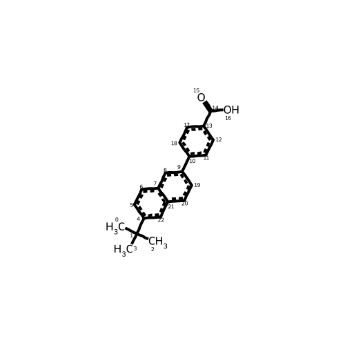 CC(C)(C)c1ccc2cc(-c3ccc(C(=O)O)cc3)ccc2c1